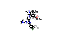 C=C/N=C(NC)\C(=C(/C)N1CCC(c2nc(-c3ccc(F)c(C(F)(F)F)c3)cn2CCN2CCC2)CC1)c1ccc(C(=O)OC)cc1